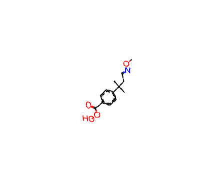 CON=CCC(C)(C)c1ccc(C(=O)OO)cc1